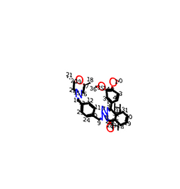 COc1ccc(C2=NN(Cc3ccc(CN4C[C@H](C)O[C@@H](C)C4)cc3)C(=O)[C@@H]3CC=CC[C@H]23)cc1OC